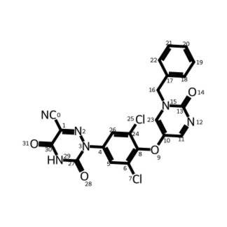 N#Cc1nn(-c2cc(Cl)c(Oc3cnc(=O)n(Cc4ccccc4)c3)c(Cl)c2)c(=O)[nH]c1=O